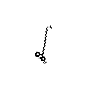 CCCCCCCCCCCCCCCCCC(c1ccc(O)cc1)c1ccccc1O